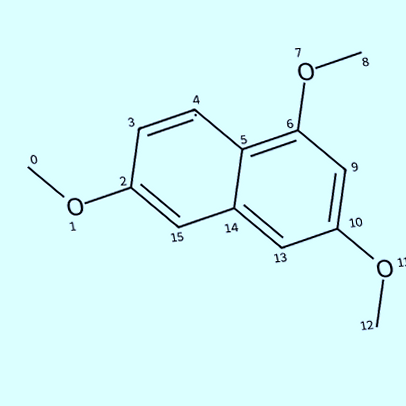 COc1c[c]c2c(OC)cc(OC)cc2c1